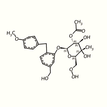 COc1ccc(Cc2ccc(CO)cc2O[C@@H]2O[C@H](COO)[C@@](C)(O)[C@H](O)[C@H]2OC(C)=O)cc1